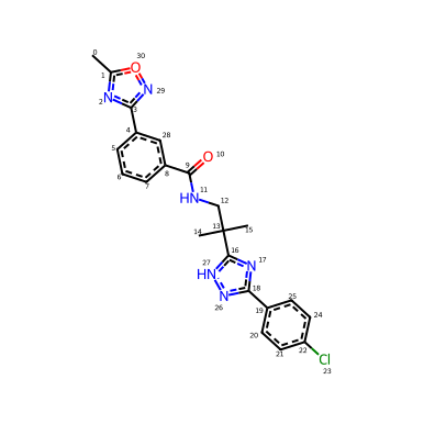 Cc1nc(-c2cccc(C(=O)NCC(C)(C)c3nc(-c4ccc(Cl)cc4)n[nH]3)c2)no1